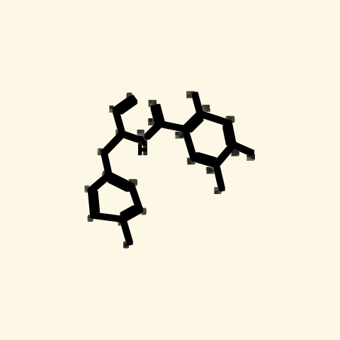 C=CC(Cc1ccc(C)cc1)NC(=C)c1cc(C)c(C)cc1C